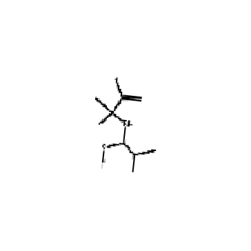 C=C(C)C(C)(C)BC(SI)C(C)C